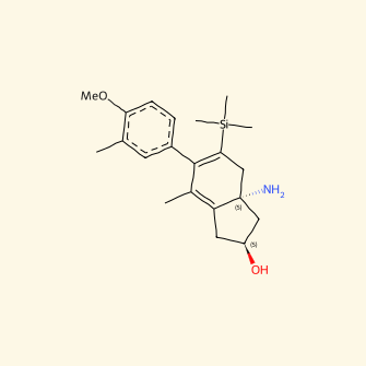 COc1ccc(C2=C([Si](C)(C)C)C[C@@]3(N)C[C@@H](O)CC3=C2C)cc1C